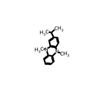 CC(C)c1ccc2c(c1)N(C)c1ccccc1N2C